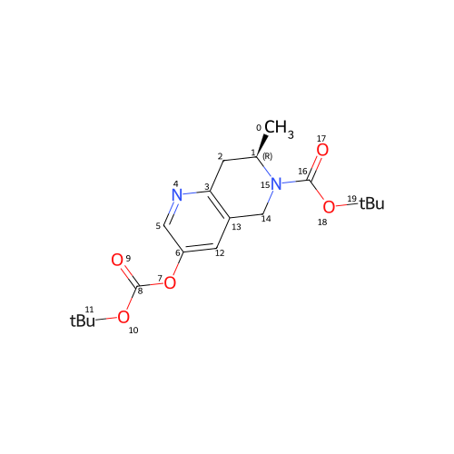 C[C@@H]1Cc2ncc(OC(=O)OC(C)(C)C)cc2CN1C(=O)OC(C)(C)C